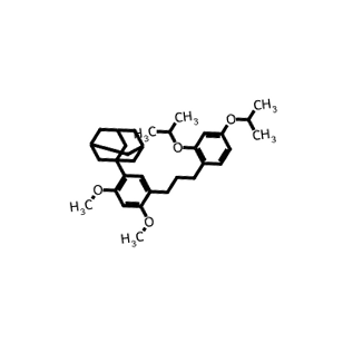 COc1cc(OC)c(C23CC4CC(CC(C4)C2)C3)cc1CCCc1ccc(OC(C)C)cc1OC(C)C